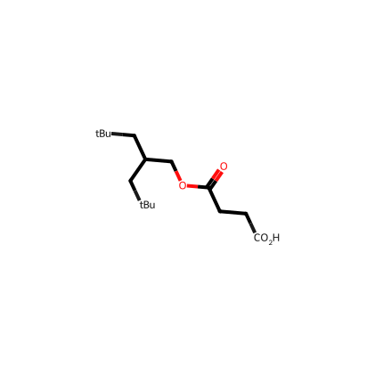 CC(C)(C)CC(COC(=O)CCC(=O)O)CC(C)(C)C